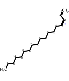 C=C/C=C\CCCCCCC[CH]CCCCCC